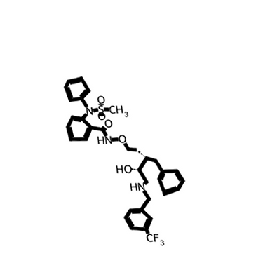 CS(=O)(=O)N(c1ccccc1)c1ccccc1C(=O)NOCC[C@H](Cc1ccccc1)[C@@H](O)CNCc1cccc(C(F)(F)F)c1